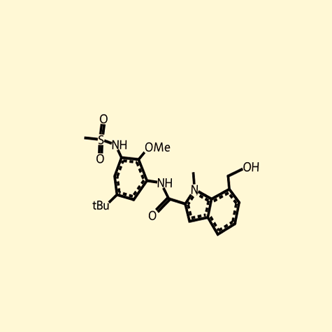 COc1c(NC(=O)c2cc3cccc(CO)c3n2C)cc(C(C)(C)C)cc1NS(C)(=O)=O